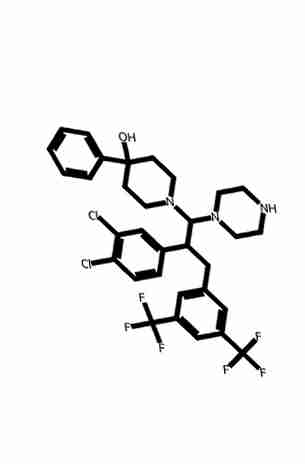 OC1(c2ccccc2)CCN(C(C(Cc2cc(C(F)(F)F)cc(C(F)(F)F)c2)c2ccc(Cl)c(Cl)c2)N2CCNCC2)CC1